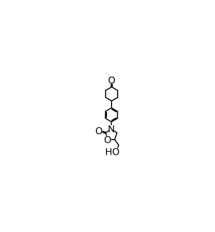 O=C1CCC(c2ccc(N3CC(CO)OC3=O)cc2)CC1